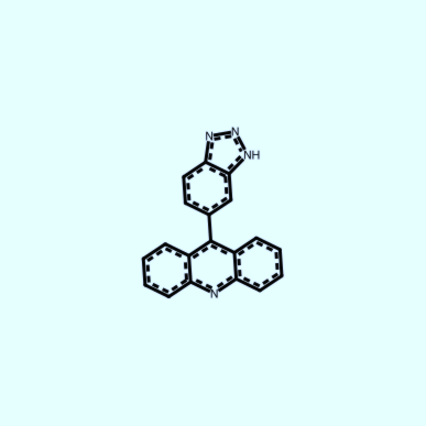 c1ccc2c(-c3ccc4nn[nH]c4c3)c3ccccc3nc2c1